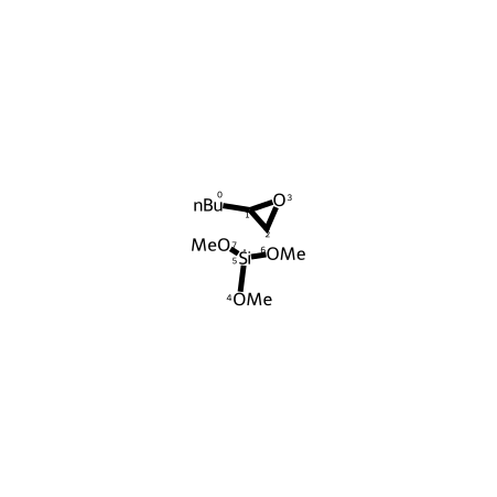 CCCCC1CO1.CO[Si](OC)OC